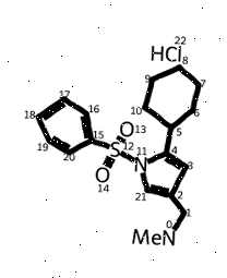 CNCc1cc(C2CCCCC2)n(S(=O)(=O)c2ccccc2)c1.Cl